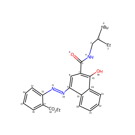 CCCCC(CC)CNC(=O)c1cc(/N=N/c2ccccc2C(=O)OCC)c2ccccc2c1O